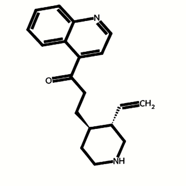 C=C[C@@H]1CNCC[C@H]1CCC(=O)c1ccnc2ccccc12